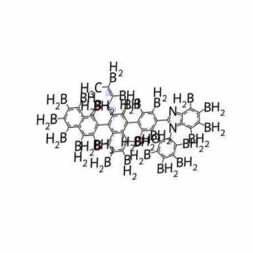 B=c1c(-c2c(B)c(B)c(-c3nc4c(B)c(B)c(B)c(B)c4n3-c3c(B)c(B)c(B)c(B)c3O)c(B)c2B)c2c(B)c(B)c(B)c(B)c2c(-c2c(B)c(B)c3c(B)c(B)c(B)c(B)c3c2B)/c1=C(B)/C(B)=C(/B)C